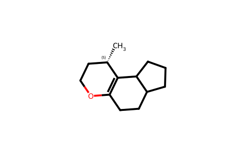 C[C@H]1CCOC2=C1C1CCCC1CC2